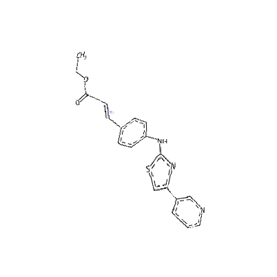 CCOC(=O)/C=C/c1ccc(Nc2nc(-c3cccnc3)cs2)cc1